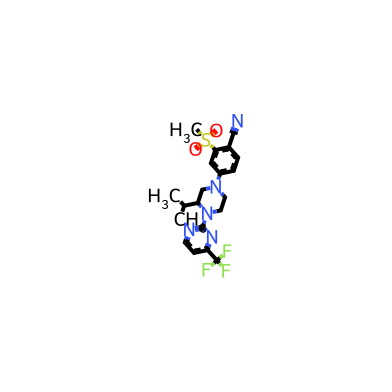 CC(C)C1CN(c2ccc(C#N)c(S(C)(=O)=O)c2)CCN1c1nccc(C(F)(F)F)n1